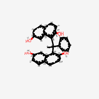 CC(c1ccccc1)(c1c(O)ccc2ccc(O)cc12)c1c(O)ccc2ccc(O)cc12